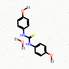 CCOCC.CCOc1ccc(NC(=S)Nc2ccc(OCC)cc2)cc1